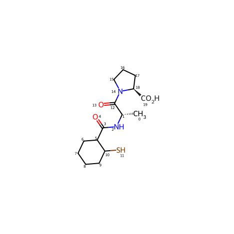 C[C@H](NC(=O)C1CCCCC1S)C(=O)N1CCC[C@H]1C(=O)O